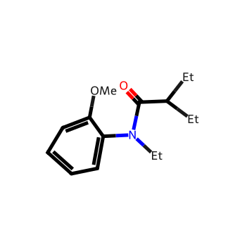 CCC(CC)C(=O)N(CC)c1ccccc1OC